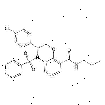 CCCNC(=O)c1cccc2c1OCC(c1ccc(Cl)cc1)N2S(=O)(=O)c1ccccc1